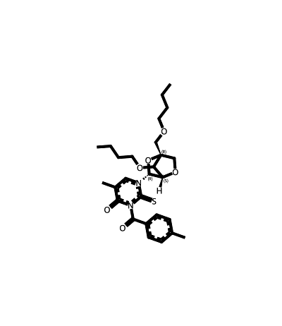 CCCCOC[C@@]12CO[C@@H](C1OCCCC)[C@H](n1cc(C)c(=O)n(C(=O)c3ccc(C)cc3)c1=S)O2